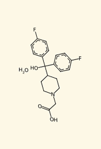 O.O=C(O)CN1CCC(C(O)(c2ccc(F)cc2)c2ccc(F)cc2)CC1